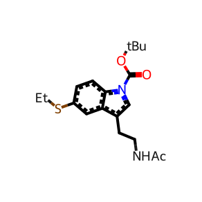 CCSc1ccc2c(c1)c(CCNC(C)=O)cn2C(=O)OC(C)(C)C